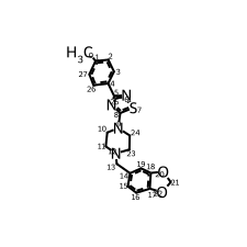 Cc1ccc(-c2nsc(N3CCN(Cc4ccc5c(c4)OCO5)CC3)n2)cc1